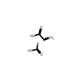 C=CC(=O)O.O=[C](O)[Zr]